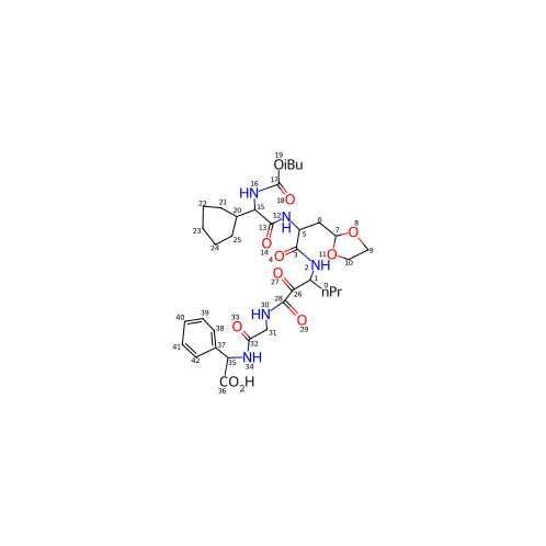 CCCC(NC(=O)C(CC1OCCO1)NC(=O)C(NC(=O)OCC(C)C)C1CCCCC1)C(=O)C(=O)NCC(=O)NC(C(=O)O)c1ccccc1